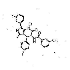 CCN1C(=O)[C@@H](NC(=O)c2cccc(C(F)(F)F)c2)[C@@H](c2ccc(F)cc2)c2c(C)nn(-c3cccc(C)c3)c21